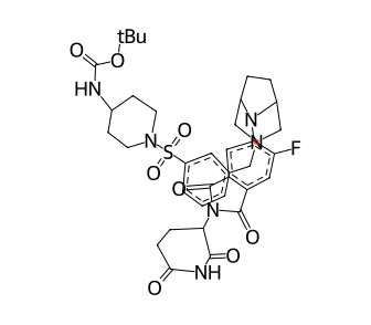 CC(C)(C)OC(=O)NC1CCN(S(=O)(=O)c2cccc(CN3CC4CCC(C3)N4c3cc4c(cc3F)C(=O)N(C3CCC(=O)NC3=O)C4=O)c2)CC1